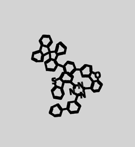 c1ccc(-c2cccc(-c3nc(-c4cccc5oc6ccc(-c7ccc(-c8cccc9c8-c8ccccc8C98c9ccccc9-c9ccccc98)cc7)cc6c45)nc(-c4cccc5sc6ccccc6c45)n3)c2)cc1